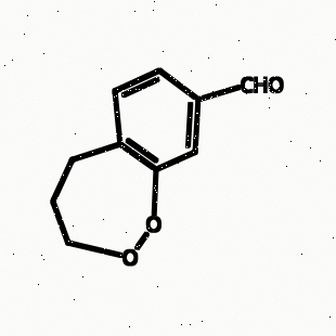 O=Cc1ccc2c(c1)OOCCC2